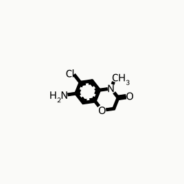 CN1C(=O)COc2cc(N)c(Cl)cc21